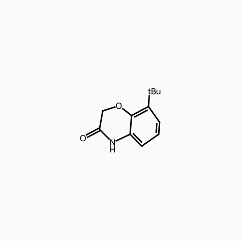 CC(C)(C)c1cccc2c1OCC(=O)N2